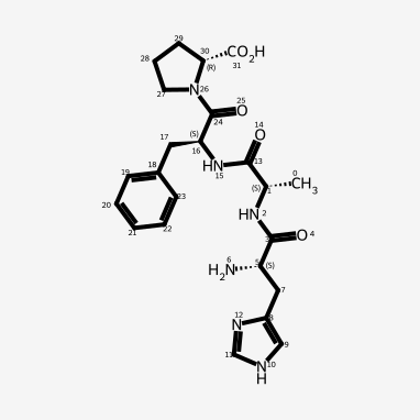 C[C@H](NC(=O)[C@@H](N)Cc1c[nH]cn1)C(=O)N[C@@H](Cc1ccccc1)C(=O)N1CCC[C@@H]1C(=O)O